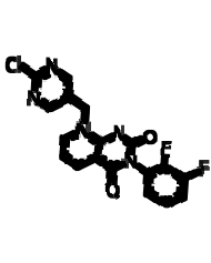 O=c1nc2n(Cc3cnc(Cl)nc3)cccc-2c(=O)n1-c1cccc(F)c1F